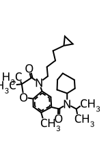 Cc1cc2c(cc1C(=O)N(C(C)C)C1CCCCC1)N(CCCCC1CC1)C(=O)C(C)(C)O2